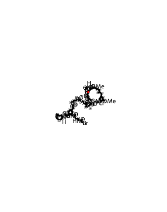 COc1cc2cc(c1Cl)N(C)C(=O)C[C@H](OC(=O)[C@H](C)N(C)C(=O)CCSC(=O)N(C)CCN(C)C(=O)OCc1ccc(OC(=O)NC3C/C=C/CCCC3)c(NC(=O)CCNC(=O)CBr)c1)[C@]1(C)O[C@H]1[C@H](C)[C@@H]1C[C@@](O)(NC(=O)O1)[C@H](OC)/C=C/C=C(\C)C2